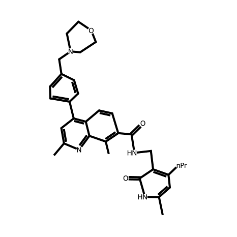 CCCc1cc(C)[nH]c(=O)c1CNC(=O)c1ccc2c(-c3ccc(CN4CCOCC4)cc3)cc(C)nc2c1C